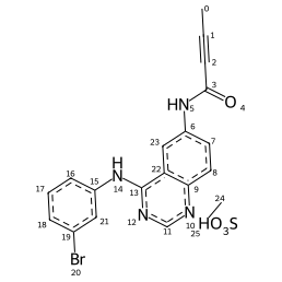 CC#CC(=O)Nc1ccc2ncnc(Nc3cccc(Br)c3)c2c1.CS(=O)(=O)O